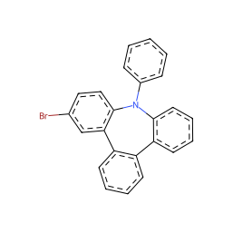 Brc1ccc2c(c1)-c1ccccc1-c1ccccc1N2c1ccccc1